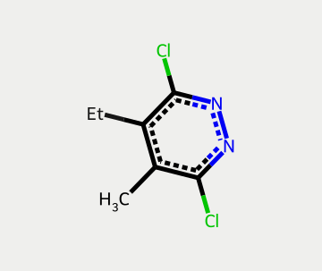 CCc1c(Cl)nnc(Cl)c1C